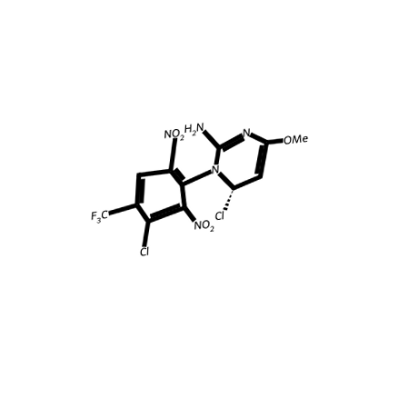 COC1=C[C@H](Cl)N(c2c([N+](=O)[O-])cc(C(F)(F)F)c(Cl)c2[N+](=O)[O-])C(N)=N1